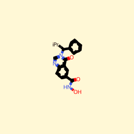 CC(C)C(c1ccccc1)n1cnc2ccc(C(=O)NO)cc2c1=O